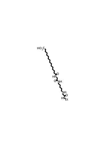 CCNC(=O)CNCCCCCNC(=O)CNC(=O)CCCCCCCCCCCCCCC(=O)O